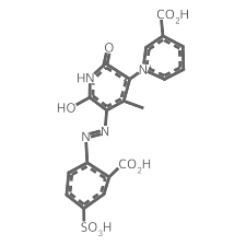 Cc1c(/N=N/c2ccc(S(=O)(=O)O)cc2C(=O)O)c(O)[nH]c(=O)c1-[n+]1cccc(C(=O)O)c1